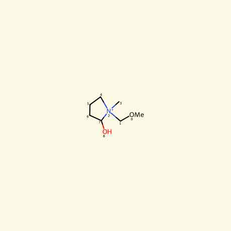 COC[N+]1(C)CCCC1O